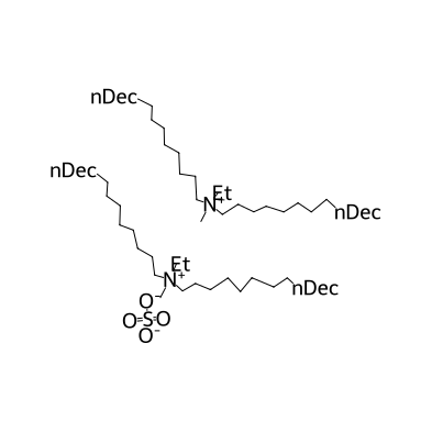 CCCCCCCCCCCCCCCCCC[N+](C)(CC)CCCCCCCCCCCCCCCCCC.CCCCCCCCCCCCCCCCCC[N+](C)(CC)CCCCCCCCCCCCCCCCCC.O=S(=O)([O-])[O-]